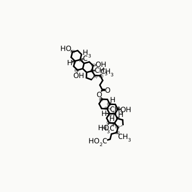 C[C@H](CCC(=O)O[C@@H]1CC[C@@]2(C)[C@@H](C1)C[C@@H](O)[C@@H]1[C@@H]2C[C@H](O)[C@]2(C)[C@@H]([C@H](C)CCC(=O)O)CC[C@@H]12)[C@H]1CCC2C3C(C[C@H](O)[C@@]21C)[C@@]1(C)CC[C@@H](O)C[C@H]1C[C@H]3O